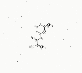 C=C(C)C(=O)OC1COCC(C)O1